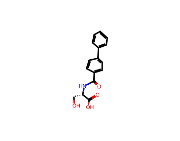 O=C(N[C@@H](CO)C(=O)O)c1ccc(-c2ccccc2)cc1